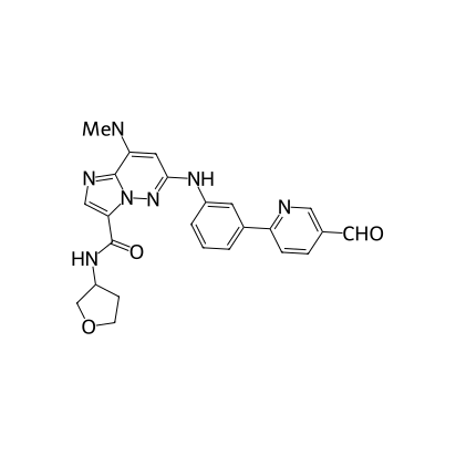 CNc1cc(Nc2cccc(-c3ccc(C=O)cn3)c2)nn2c(C(=O)NC3CCOC3)cnc12